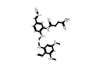 C=Cc1c(OC)cc(OC)cc1OC.COc1ccc(C=S=O)cc1OC(=O)CCC(=O)O